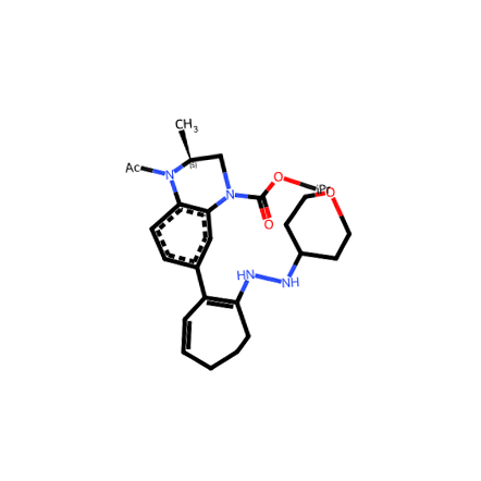 CC(=O)N1c2ccc(C3=C(NNC4CCOCC4)CCCC=C3)cc2N(C(=O)OC(C)C)C[C@@H]1C